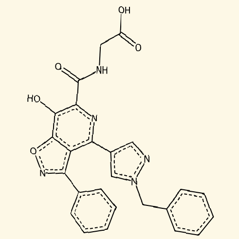 O=C(O)CNC(=O)c1nc(-c2cnn(Cc3ccccc3)c2)c2c(-c3ccccc3)noc2c1O